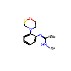 CCCCNC(=Nc1ccccc1N1CCOSC1)NC